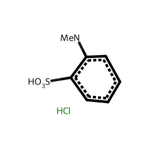 CNc1ccccc1S(=O)(=O)O.Cl